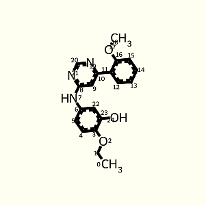 CCOc1ccc(Nc2cc(-c3ccccc3OC)ncn2)cc1O